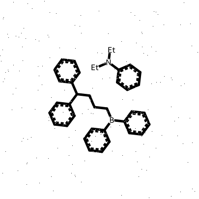 CCN(CC)c1ccccc1.c1ccc(B(CCCC(c2ccccc2)c2ccccc2)c2ccccc2)cc1